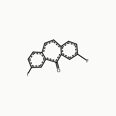 O=c1c2cc(F)ccc2ccc2ccc(I)cc12